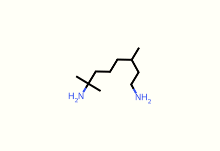 CC(CCN)CCCC(C)(C)N